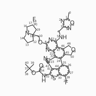 Cc1nc(CNc2nc(OC[C@@]34CCCN3C[C@H](F)C4)nc3c(Cl)c(-c4ccc(F)c5sc(NC(=O)OC(C)(C)C)c(C#N)c45)c4c(c23)COC4)no1